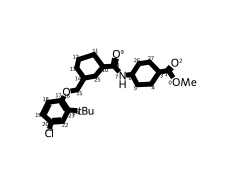 COC(=O)C1CCC(NC(=O)C2CCCC(COc3ccc(Cl)cc3C(C)(C)C)C2)CC1